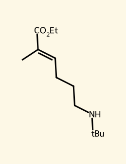 CCOC(=O)C(C)=CCCCNC(C)(C)C